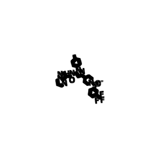 Cc1ccc(-n2nc(C3CCN([S+]([O-])c4cccc(C(F)(F)F)c4)CC3)cc2NC(=O)c2cnn3cccnc23)cc1